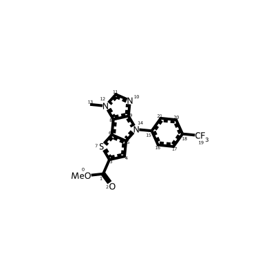 COC(=O)c1cc2c(s1)c1c(ncn1C)n2-c1ccc(C(F)(F)F)cc1